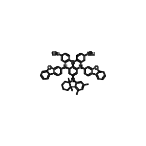 Cc1cc(C)c2c(c1)N(c1cc3c4c(c1)N(c1ccc5c(c1)oc1ccccc15)c1cc(C(C)(C)C)ccc1B4c1ccc(C(C)(C)C)cc1N3c1ccc3c(c1)oc1ccccc13)C1(C)CCCCC21C